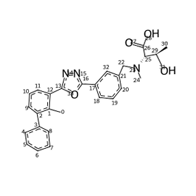 Cc1c(-c2ccccc2)cccc1-c1nnc(-c2cccc(CN(C)[C@H](C(=O)O)[C@@H](C)O)c2)o1